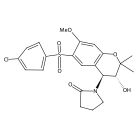 COc1cc2c(cc1S(=O)(=O)c1ccc(Cl)cc1)[C@H](N1CCCC1=O)[C@@H](O)C(C)(C)O2